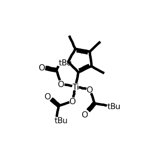 CC1=C(C)C(C)=[C]([Ti]([O]C(=O)C(C)(C)C)([O]C(=O)C(C)(C)C)[O]C(=O)C(C)(C)C)C1